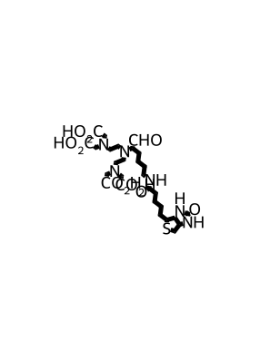 O=CC(CCCCNC(=O)CCCCC1SCC2NC(=O)NC21)N(CCN(CC(=O)O)CC(=O)O)CCN(CC(=O)O)CC(=O)O